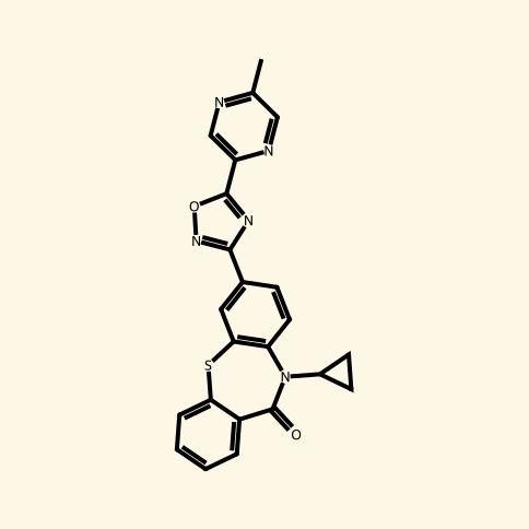 Cc1cnc(-c2nc(-c3ccc4c(c3)Sc3ccccc3C(=O)N4C3CC3)no2)cn1